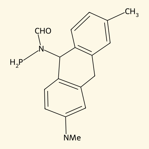 CNc1ccc2c(c1)Cc1cc(C)ccc1C2N(P)C=O